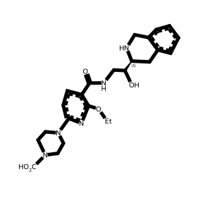 CCOc1nc(N2CCN(C(=O)O)CC2)ccc1C(=O)NCC(O)[C@@H]1Cc2ccccc2CN1